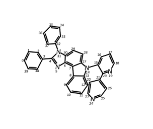 c1ccc(-c2nc3c4c5ccccc5n(-c5cccnc5-c5ccncc5)c4ccc3n2-c2ccccc2)cc1